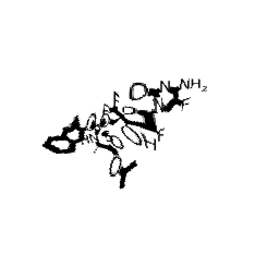 CC(C)OC(=O)[C@H](C)NP(=S)(OC[C@@]1(C(F)F)O[C@@H](n2cc(F)c(N)nc2=O)[C@@H](F)[C@@H]1O)Oc1ccc2ccccc2c1